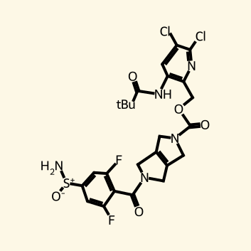 CC(C)(C)C(=O)Nc1cc(Cl)c(Cl)nc1COC(=O)N1CC2=C(C1)CN(C(=O)c1c(F)cc([S+](N)[O-])cc1F)C2